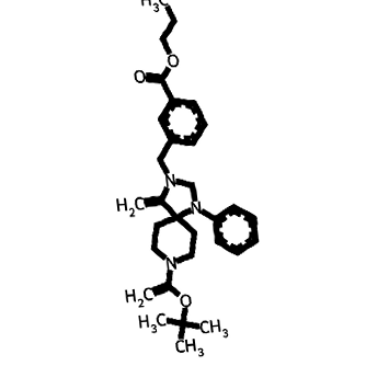 C=C(OC(C)(C)C)N1CCC2(CC1)C(=C)N(Cc1cccc(C(=O)OCCC)c1)CN2c1ccccc1